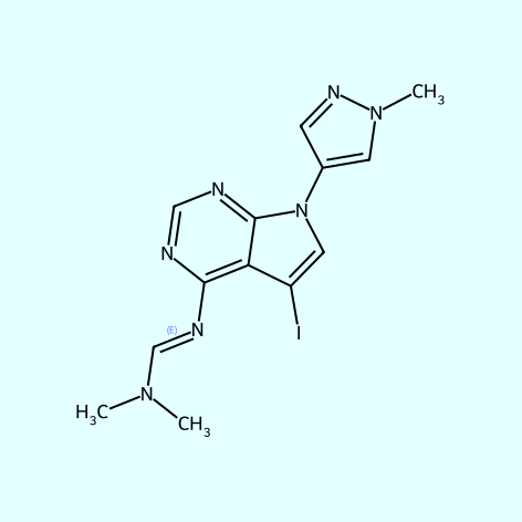 CN(C)/C=N/c1ncnc2c1c(I)cn2-c1cnn(C)c1